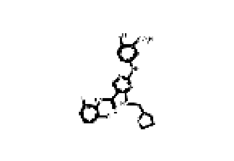 O=C(O)c1cc(Nc2ncc(C(=O)Nc3c(F)cccc3Cl)c(NCC3CCCO3)n2)ccc1O